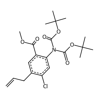 C=CCc1cc(C(=O)OC)c(N(C(=O)OC(C)(C)C)C(=O)OC(C)(C)C)cc1Cl